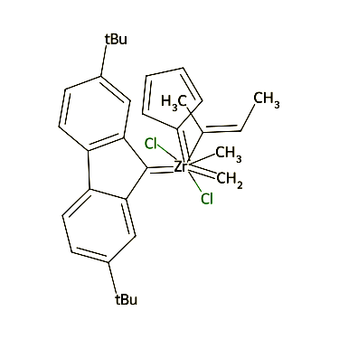 [CH2]=[Zr]([CH3])([Cl])([Cl])([C](C)=CC)(=[C]1C=CC=C1)=[C]1c2cc(C(C)(C)C)ccc2-c2ccc(C(C)(C)C)cc21